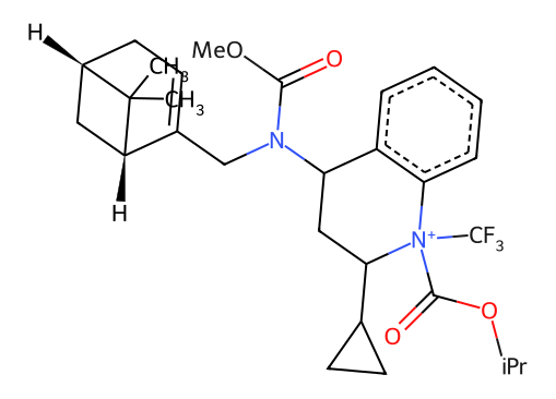 COC(=O)N(CC1=CC[C@H]2C[C@@H]1C2(C)C)C1CC(C2CC2)[N+](C(=O)OC(C)C)(C(F)(F)F)c2ccccc21